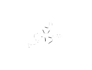 COc1cccc(C2(c3ccc(Br)cc3)CN(CC3CC3)CCO2)c1